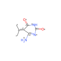 CC(C)=C1C(=O)NC(=O)N=C1N